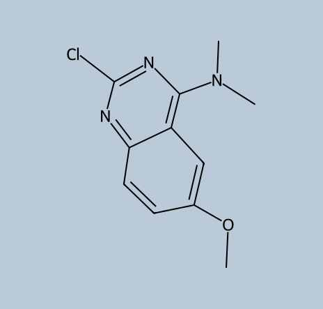 COc1ccc2nc(Cl)nc(N(C)C)c2c1